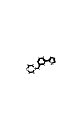 [c]1ccc(-c2cccc(CN3CCOCC3)c2)s1